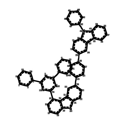 c1ccc(-c2nc(-c3ccccc3)nc(-c3cccc4sc5ccc(-c6ccc(-c7ccc8c(c7)c7ccccc7n8-c7ccccc7)cc6)cc5c34)n2)cc1